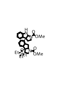 CC[Si](CC)(CC)O[C@]12CCN(C(=O)OC)C1Cc1c([C@]34CCN(C(=O)OC)C3Nc3ccccc34)cccc12